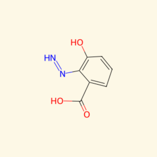 N=Nc1c(O)cccc1C(=O)O